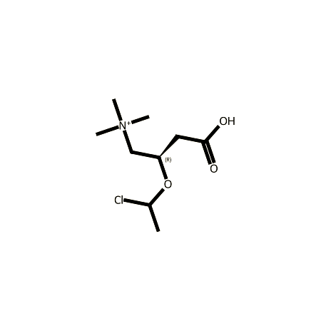 CC(Cl)O[C@H](CC(=O)O)C[N+](C)(C)C